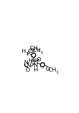 COCc1ccc(C(NC(=O)Cn2cnccc2=O)C(=O)Nc2ccc([Si](C)(C)C)c(F)c2)cc1